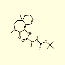 C[C@H](NC(=O)OC(C)(C)C)C(=O)NC1=C2C=CCC[C@H]2CCN(C)C1=O